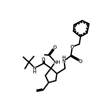 C=CC1CC(CNC(=O)OCc2ccccc2)C(NC(C)=O)(C(=O)NC(C)(C)C)C1